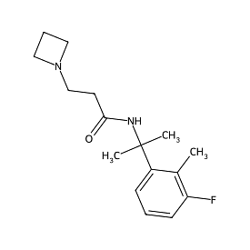 Cc1c(F)cccc1C(C)(C)NC(=O)CCN1CCC1